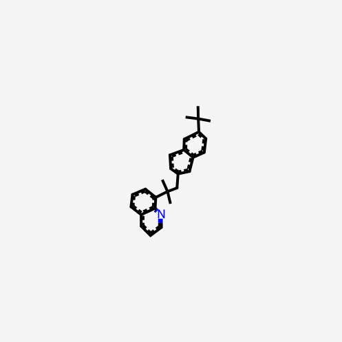 CC(C)(C)c1ccc2cc(CC(C)(C)c3cccc4cccnc34)ccc2c1